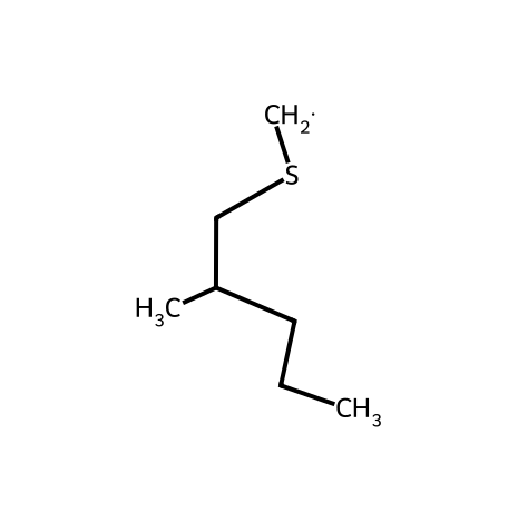 [CH2]SCC(C)CCC